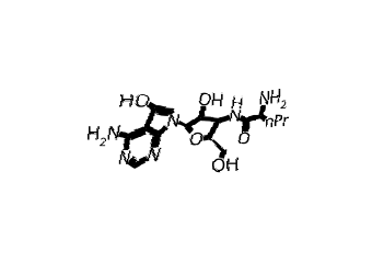 CCCC(N)C(=O)NC1C(O)[C@H](n2cc(O)c3c(N)ncnc32)O[C@@H]1CO